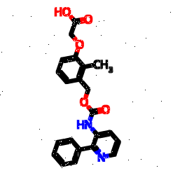 Cc1c(COC(=O)Nc2cccnc2-c2ccccc2)cccc1OCC(=O)O